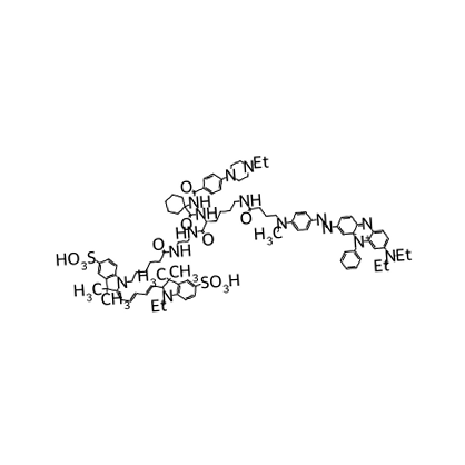 CCN1CCN(c2ccc(C(=O)NC3(C(=O)N[C@@H](CCCCNC(=O)CCCN(C)c4ccc(/N=N/c5ccc6nc7ccc(N(CC)CC)cc7[n+](-c7ccccc7)c6c5)cc4)C(=O)NCCNC(=O)CCCCCN4\C(=C/C=C/C=C/C5N(CC)c6ccc(S(=O)(=O)O)cc6C5(C)C)C(C)(C)c5cc(S(=O)(=O)O)ccc54)CCCCC3)cc2)CC1